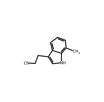 [C-]#[N+]CCc1c[nH]c2c(C)cccc12